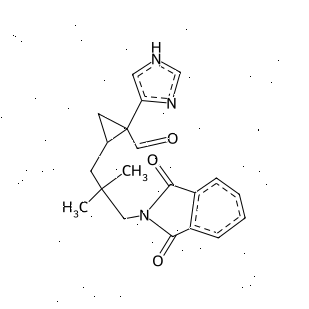 CC(C)(CC1CC1(C=O)c1c[nH]cn1)CN1C(=O)c2ccccc2C1=O